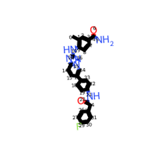 Cc1cc(C(N)=O)ccc1Nc1nc2ccc(-c3ccc(NC(=O)Cc4ccc(F)cc4)cc3)cn2n1